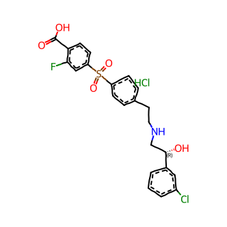 Cl.O=C(O)c1ccc(S(=O)(=O)c2ccc(CCNC[C@H](O)c3cccc(Cl)c3)cc2)cc1F